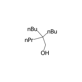 CCCCC(CO)(CCC)CCCC